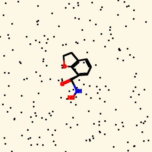 O=C(NO)c1cccc2c1OCC2